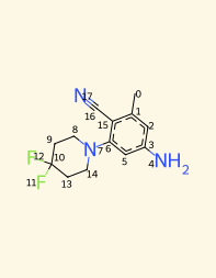 Cc1cc(N)cc(N2CCC(F)(F)CC2)c1C#N